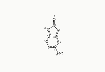 CCCc1ccc2c(c1)=CC(=O)N=2